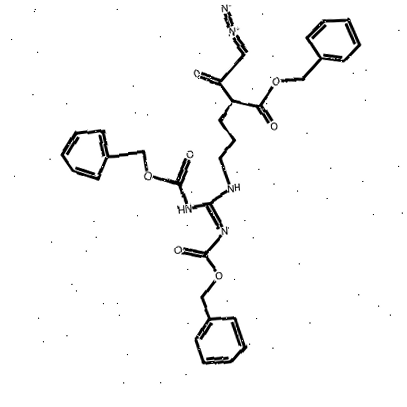 [N-]=[N+]=CC(=O)[C@H](CCCNC(=NC(=O)OCc1ccccc1)NC(=O)OCc1ccccc1)C(=O)OCc1ccccc1